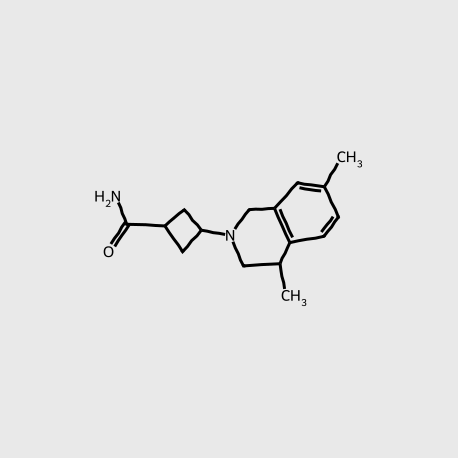 Cc1ccc2c(c1)CN(C1CC(C(N)=O)C1)CC2C